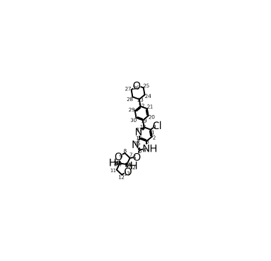 Clc1cc2[nH]c(OC3CO[C@@H]4CCO[C@H]34)nc2nc1-c1ccc(C2CCOCC2)cc1